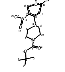 CC(C)(C)OC(=O)N1CCN(c2cc(Cl)ccc2[N+](=O)[O-])CC1